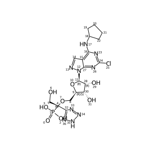 O=P(O)(O)[C@](CO)(OC[C@H]1O[C@@H](n2ncc3c(NC4CCCC4)nc(Cl)nc32)[C@H](O)[C@@H]1O)c1nn[nH]n1